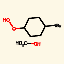 CC(C)(C)C1CCC(OO)CC1.O=C(O)O